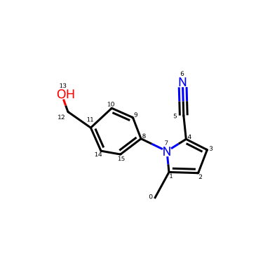 Cc1ccc(C#N)n1-c1ccc(CO)cc1